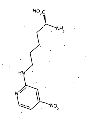 N[C@@H](CCCCNc1cc([N+](=O)[O-])ccn1)C(=O)O